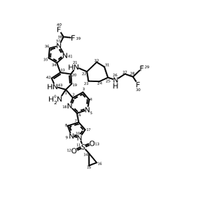 NC1(c2ccnc(-c3cnn(S(=O)(=O)C4CC4)c3)n2)C=C(NC2CCC(NCC(F)F)CC2)C(c2ccn(C(F)F)n2)=CN1